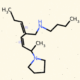 CC/C=C(\C=C/C(C)N1CCCC1)CNCCCC